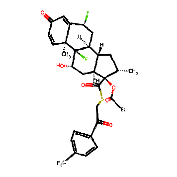 CCC(=O)O[C@]1(C(=O)SCC(=O)c2ccc(C(F)(F)F)cc2)[C@@H](C)C[C@H]2[C@@H]3C[C@H](F)C4=CC(=O)C=C[C@]4(C)[C@@]3(F)[C@@H](O)C[C@@]21C